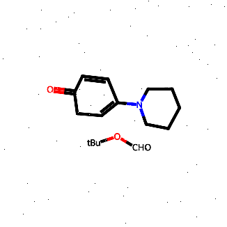 CC(C)(C)OC=O.O=C1C=CC(N2CCCCC2)=CC1